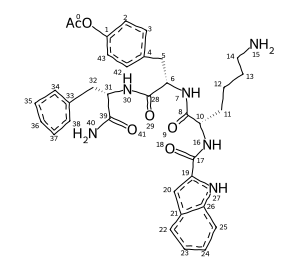 CC(=O)Oc1ccc(C[C@H](NC(=O)[C@H](CCCCN)NC(=O)c2cc3ccccc3[nH]2)C(=O)N[C@@H](Cc2ccccc2)C(N)=O)cc1